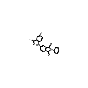 O=C(O)c1cc(Cl)ccc1Nc1ccc2c(c1)C(=O)N(c1ccccc1)C2=O